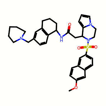 COc1ccc2cc(S(=O)(=O)N3CCn4cccc4C3CC(=O)NC3CCCc4cc(CN5CCCCC5)ccc43)ccc2c1